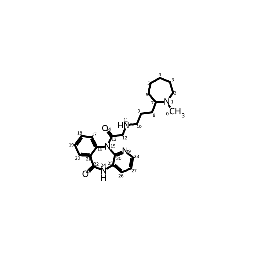 CN1CCCCCC1CCCNCC(=O)N1c2ccccc2C(=O)Nc2cccnc21